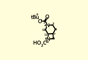 CC(C)(C)OC(=O)N1CCC2CN(C(=O)O)C2C1